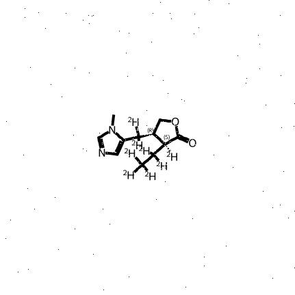 [2H]C([2H])(c1cncn1C)[C@H]1COC(=O)[C@@]1([2H])C([2H])([2H])C([2H])([2H])[2H]